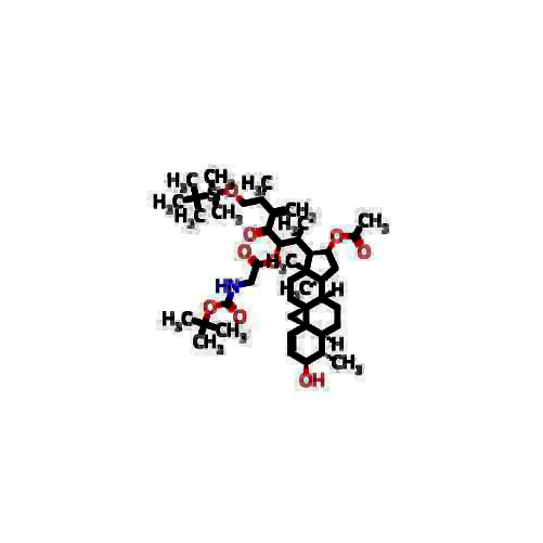 C=C(C(=O)[C@H](OC(=O)CNC(=O)OC(C)(C)C)[C@@H](C)[C@H]1[C@@H](OC(C)=O)C[C@@]2(C)[C@@H]3CC[C@H]4[C@H](C)[C@@H](O)C=C[C@@]45C[C@@]35CC[C@]12C)[C@@H](C)CO[Si](C)(C)C(C)(C)C